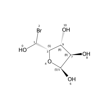 OC(Br)[C@H]1O[C@H](O)[C@H](O)[C@H]1O